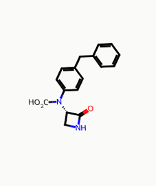 O=C1NC[C@@H]1N(C(=O)O)c1ccc(Cc2ccccc2)cc1